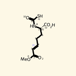 COC(=O)/C=C/CC[C@H](NC(=O)S)C(=O)O